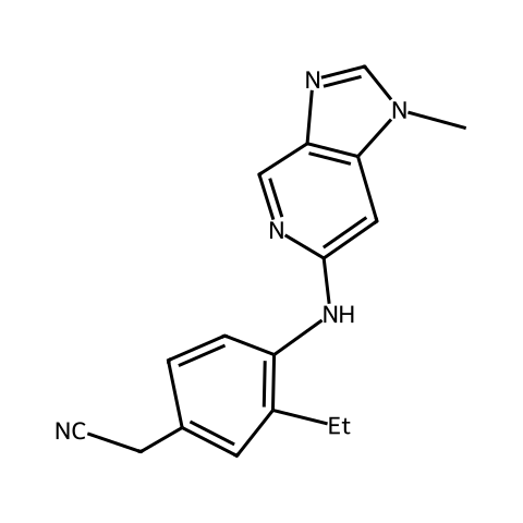 CCc1cc(CC#N)ccc1Nc1cc2c(cn1)ncn2C